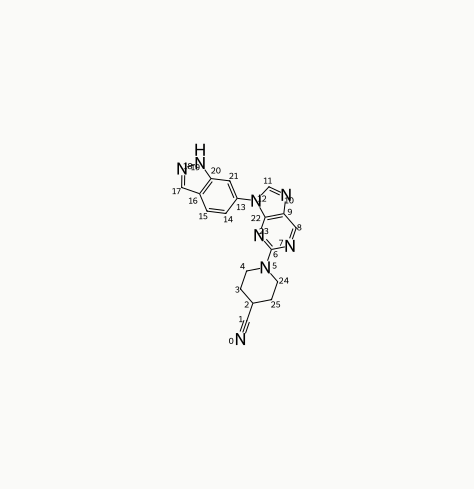 N#CC1CCN(c2ncc3ncn(-c4ccc5cn[nH]c5c4)c3n2)CC1